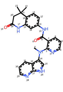 CN(c1ncccc1C(=O)Nc1ccc2c(c1)NC(=O)CC2(C)C)c1c[nH]c2ncccc12